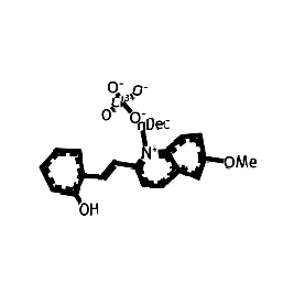 CCCCCCCCCC[n+]1c(/C=C/c2ccccc2O)ccc2cc(OC)ccc21.[O-][Cl+3]([O-])([O-])[O-]